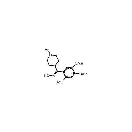 COc1cc(OC(C)=O)c(C(=NO)C2CCN(C(C)=O)CC2)cc1OC